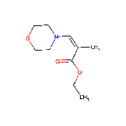 CCOC(=O)C(C)=CN1CCOCC1